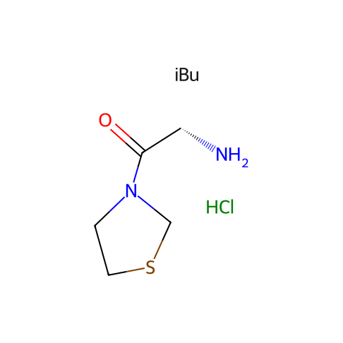 CC[C@H](C)[C@H](N)C(=O)N1CCSC1.Cl